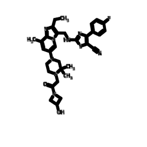 CCc1nc2c(C)cc(N3CCN(CC(=O)N4CC(O)C4)C(C)(C)C3)cn2c1CNc1nc(-c2ccc(F)cc2)c(C#N)s1